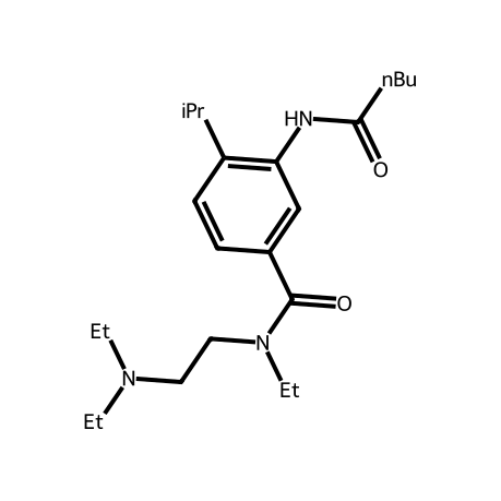 CCCCC(=O)Nc1cc(C(=O)N(CC)CCN(CC)CC)ccc1C(C)C